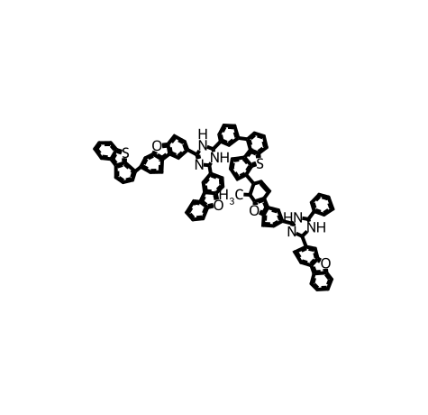 CC1c2oc3ccc(C4=NC(c5ccc6c(c5)oc5ccccc56)NC(c5ccccc5)N4)cc3c2C=CC1c1cccc2c1sc1cccc(-c3cccc(C4NC(c5ccc6oc7cc(-c8cccc9c8sc8ccccc89)ccc7c6c5)=NC(c5ccc6oc7ccccc7c6c5)N4)c3)c12